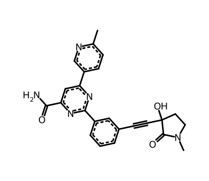 Cc1ccc(-c2cc(C(N)=O)nc(-c3cccc(C#CC4(O)CCN(C)C4=O)c3)n2)cn1